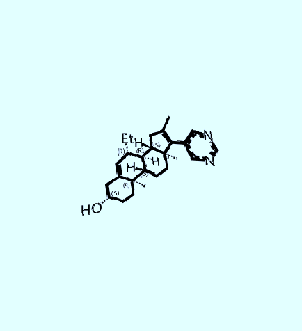 CC[C@H]1C=C2C[C@@H](O)CC[C@]2(C)[C@H]2CC[C@]3(C)C(c4cncnc4)=C(C)C[C@H]3[C@H]12